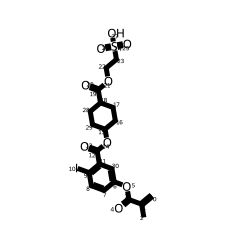 C=C(C)C(=O)Oc1ccc(I)c(C(=O)OC2CCC(C(=O)OCCS(=O)(=O)O)CC2)c1